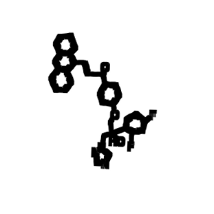 O=C(/C=C/c1c2ccccc2cc2ccccc12)c1ccc(OCC(O)(Cn2cncn2)c2ccc(F)cc2F)cc1